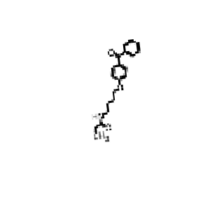 C=CC(=O)NCCCCOc1ccc(C(=O)c2ccccc2)cc1